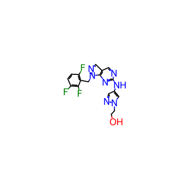 OCCn1cc(Nc2ncc3cnn(Cc4c(F)ccc(F)c4F)c3n2)cn1